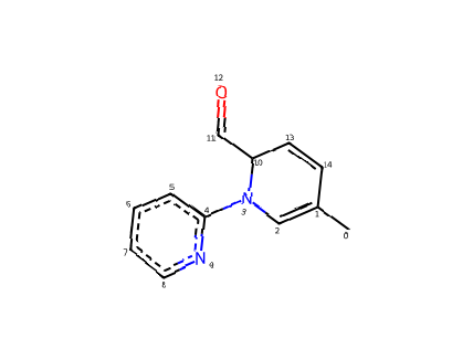 CC1=CN(c2ccccn2)C(C=O)C=C1